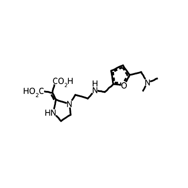 CN(C)Cc1ccc(CNCCN2CCNC2=C(C(=O)O)C(=O)O)o1